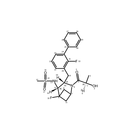 [2H][C@](C)(O)C(=O)N1C2CC(F)(C2)[C@H](NS(C)(=O)=O)[C@@H]1Cc1cccc(-c2ccccc2)c1F